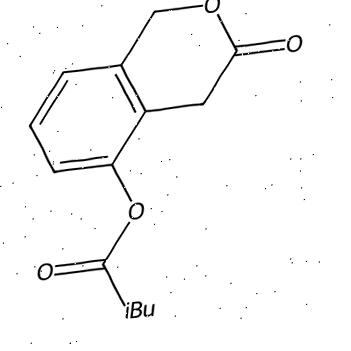 CCC(C)C(=O)Oc1cccc2c1CC(=O)OC2